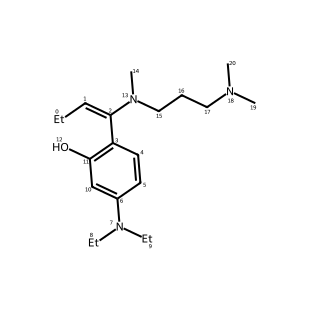 CC/C=C(\c1ccc(N(CC)CC)cc1O)N(C)CCCN(C)C